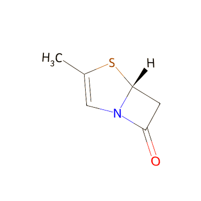 CC1=CN2C(=O)C[C@H]2S1